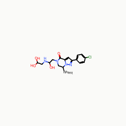 CCCCCC1CN(CC(O)NCC(O)O)C(=O)c2cc(-c3ccc(Cl)cc3)nn21